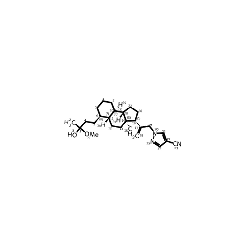 COC(C)(O)CC[C@H]1CCC[C@@H]2[C@@H]1CC[C@]1(C)[C@@H](C(=O)Cn3cc(C#N)cn3)CC[C@@H]21